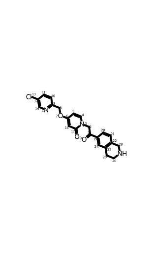 O=C(Cn1ccc(OCc2ccc(Cl)cn2)cc1=O)c1ccc2c(c1)CCNC2